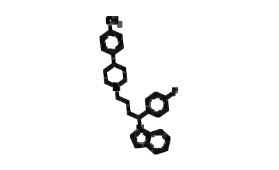 Cc1ccc(C2CCN(CCCC(c3ccc(F)cc3)n3ccc4ccccc43)CC2)cc1